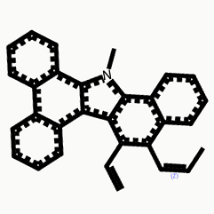 C=Cc1c(/C=C\C)c2ccccc2c2c1c1c3ccccc3c3ccccc3c1n2C